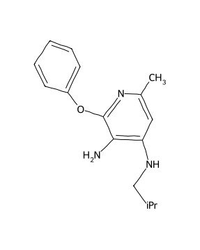 Cc1cc(NCC(C)C)c(N)c(Oc2ccccc2)n1